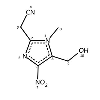 Cn1c(CC#N)nc([N+](=O)[O-])c1CO